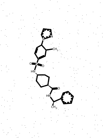 CC1C=C(S(=O)(=O)N[C@H]2CC[C@H](C(=O)N[C@H](C)c3ccccc3)CC2)C=CC1n1cccn1